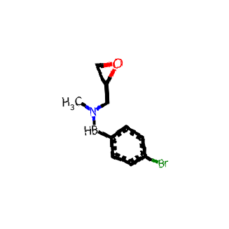 CN(Bc1ccc(Br)cc1)CC1CO1